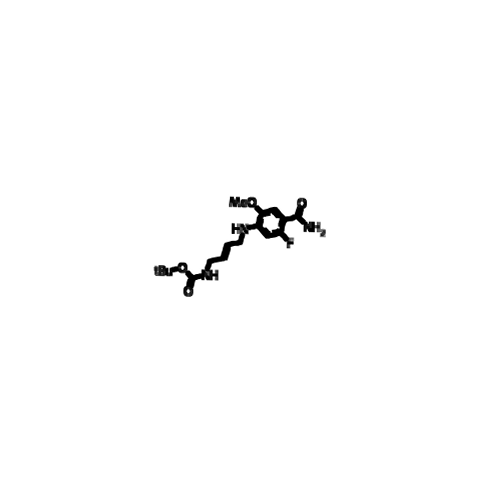 COc1cc(C(N)=O)c(F)cc1NCC=CCNC(=O)OC(C)(C)C